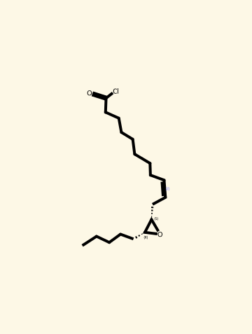 CCCCC[C@H]1O[C@H]1C/C=C\CCCCCCCC(=O)Cl